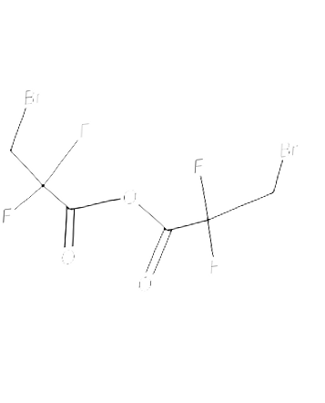 O=C(OC(=O)C(F)(F)CBr)C(F)(F)CBr